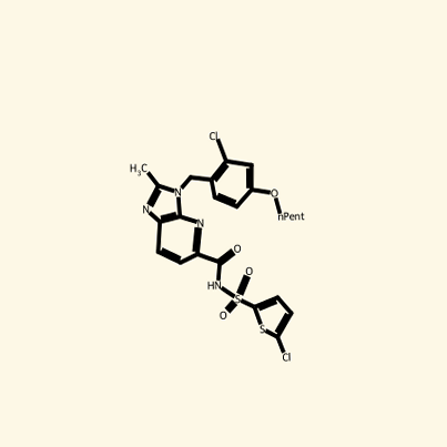 CCCCCOc1ccc(Cn2c(C)nc3ccc(C(=O)NS(=O)(=O)c4ccc(Cl)s4)nc32)c(Cl)c1